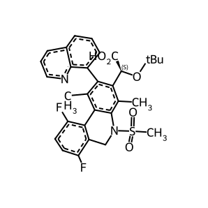 Cc1c(-c2cccc3cccnc23)c([C@H](OC(C)(C)C)C(=O)O)c(C)c2c1-c1c(F)ccc(F)c1CN2S(C)(=O)=O